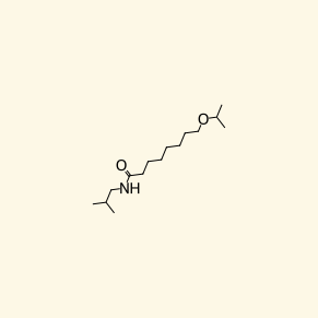 CC(C)CNC(=O)CCCCCCCOC(C)C